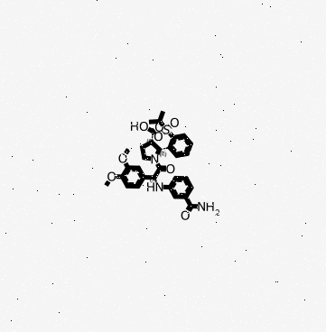 COc1ccc([C@@H](Nc2cccc(C(N)=O)c2)C(=O)N2CC[C@H](C(=O)O)[C@@H]2c2ccccc2S(=O)(=O)C(C)C)cc1OC